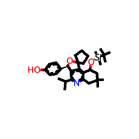 CC(C)c1nc2c(c3c1[C@@H](c1ccc(O)cc1)OC31CCCC1)C(O[Si](C)(C)C(C)(C)C)CC(C)(C)C2